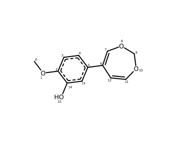 COc1ccc(C2=COCOC=C2)cc1O